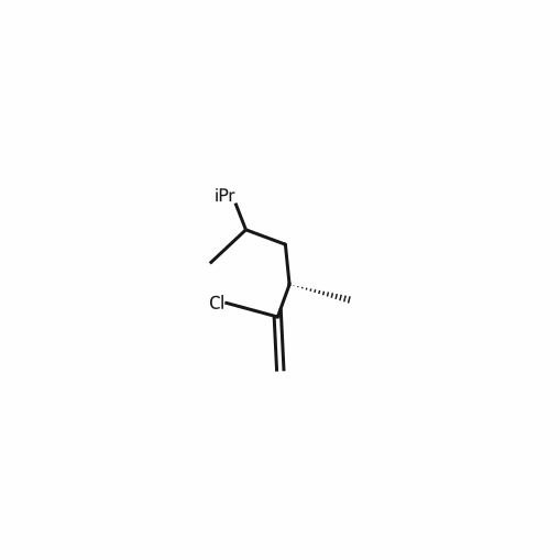 C=C(Cl)[C@@H](C)CC(C)C(C)C